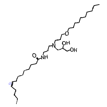 CCCC/C=C\CCCCCCCC(=O)NCCCN(CCCOCCCCCCCCCC)CC(O)CO